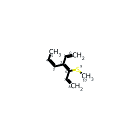 C=CC(/C=C\C)=C(/C=C)SC